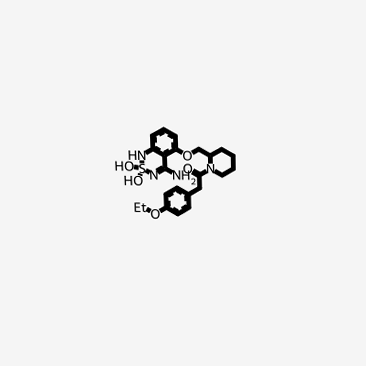 CCOc1ccc(CC(=O)N2CCCCC2COc2cccc3c2C(N)=NS(O)(O)N3)cc1